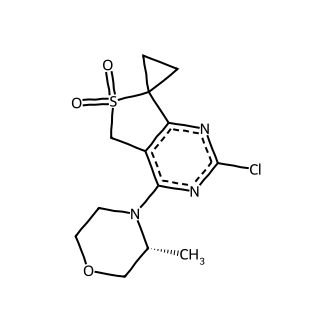 C[C@@H]1COCCN1c1nc(Cl)nc2c1CS(=O)(=O)C21CC1